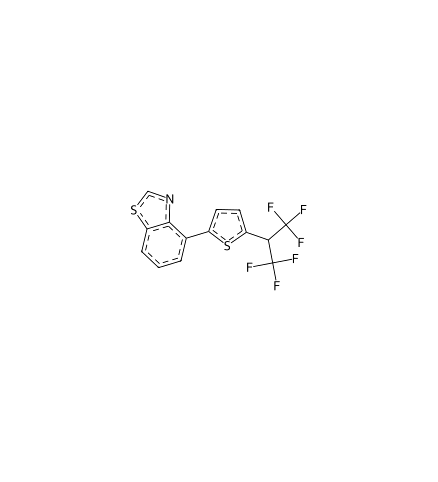 FC(F)(F)C(c1ccc(-c2cccc3scnc23)s1)C(F)(F)F